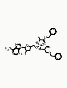 CC(NP(=O)(NC(C=O)COCc1ccccc1)OCC1CC(O)C(n2cnc3c(N)ncnc32)O1)C(=O)OCc1ccccc1